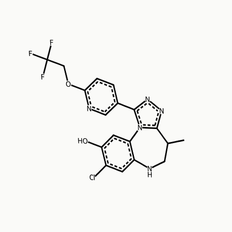 CC1CNc2cc(Cl)c(O)cc2-n2c(-c3ccc(OCC(F)(F)F)nc3)nnc21